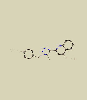 COc1ccc(Cn2nnc(-c3cc(C(=O)O)c4ccccc4n3)c2C)cc1